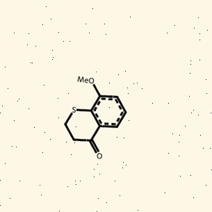 COc1cccc2c1SCCC2=O